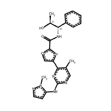 Cc1cnc(Nc2ccnn2C)nc1-c1coc(C(=O)N[C@@H](c2ccccc2)[C@H](C)O)n1